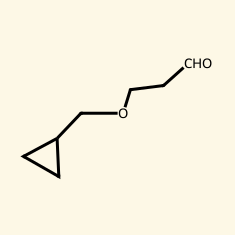 O=CCCOCC1CC1